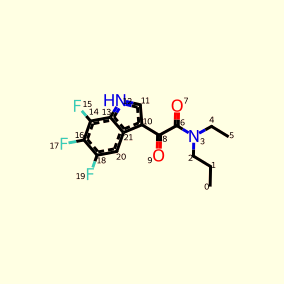 CCCN(CC)C(=O)C(=O)c1c[nH]c2c(F)c(F)c(F)cc12